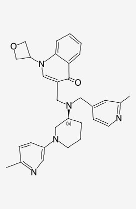 Cc1ccc(N2CCC[C@H](N(Cc3ccnc(C)c3)Cc3cn(C4COC4)c4ccccc4c3=O)C2)cn1